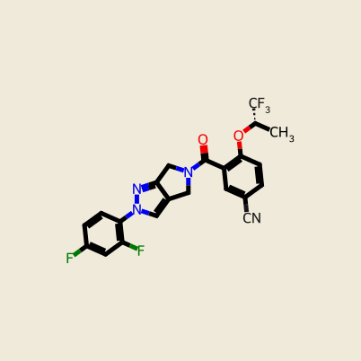 C[C@H](Oc1ccc(C#N)cc1C(=O)N1Cc2cn(-c3ccc(F)cc3F)nc2C1)C(F)(F)F